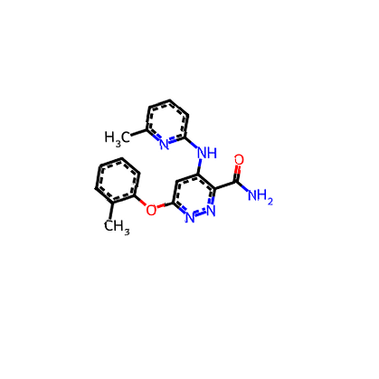 Cc1cccc(Nc2cc(Oc3ccccc3C)nnc2C(N)=O)n1